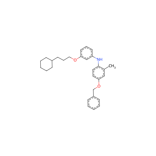 Cc1cc(OCc2ccccc2)ccc1Nc1cccc(OCCCC2CCCCC2)c1